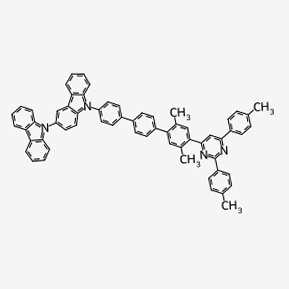 Cc1ccc(-c2cc(-c3cc(C)c(-c4ccc(-c5ccc(-n6c7ccccc7c7cc(-n8c9ccccc9c9ccccc98)ccc76)cc5)cc4)cc3C)nc(-c3ccc(C)cc3)n2)cc1